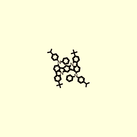 CC(C)c1ccc(N(c2ccccc2)c2ccc3c4ccc(C(C)(C)C)cc4n4c5cc6c7c(N(c8ccccc8)c8ccc(C(C)C)cc8)ccc8c9ccc(C(C)(C)C)cc9n(c6cc5c2c34)c87)cc1